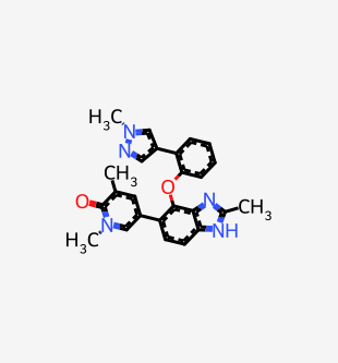 Cc1nc2c(Oc3ccccc3-c3cnn(C)c3)c(-c3cc(C)c(=O)n(C)c3)ccc2[nH]1